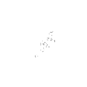 O=C1N[C@H](c2ccc(OCCO)cc2)C(=O)N1C(Cc1ccccc1)c1ncc(-c2ccc(I)cc2)[nH]1